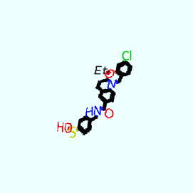 CCOc1cc(Cl)ccc1CN1CCCc2cc(C(=O)NCc3ccc(SO)cc3)ccc21